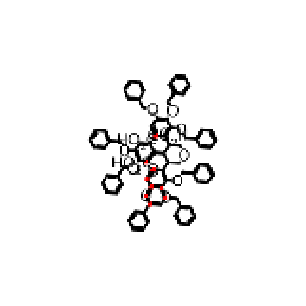 O=C(O)c1cc(OCc2ccccc2)c(OCc2ccccc2)c(OCc2ccccc2)c1C1COCC(c2c(C(=O)O)cc(OCc3ccccc3)c(OCc3ccccc3)c2OCc2ccccc2)C1c1c(C(=O)O)cc(OCc2ccccc2)c(OCc2ccccc2)c1OCc1ccccc1